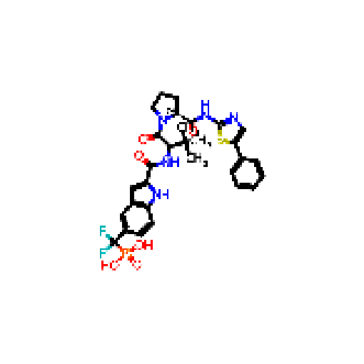 CC(C)(C)C(NC(=O)c1cc2cc(C(F)(F)P(=O)(O)O)ccc2[nH]1)C(=O)N1CCC[C@H]1C(=O)Nc1ncc(-c2ccccc2)s1